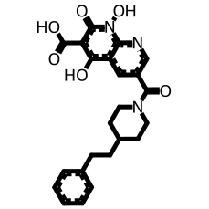 O=C(O)c1c(O)c2cc(C(=O)N3CCC(CCc4ccccc4)CC3)cnc2n(O)c1=O